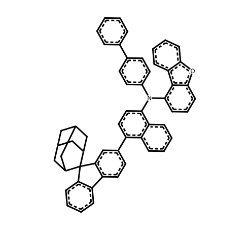 c1ccc(-c2ccc(N(c3ccc(-c4ccc5c(c4)C4(c6ccccc6-5)C5CC6CC(C5)CC4C6)c4ccccc34)c3cccc4oc5ccccc5c34)cc2)cc1